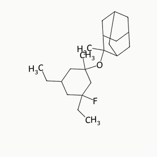 CCC1CC(F)(CC)CC(C)(OC2(C)C3CC4CC(C3)CC2C4)C1